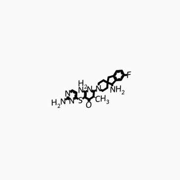 C[C@@H]1C(=O)C(Sc2ccnc(N)n2)=C(N)N=C1N1CCC2(CC1)Cc1ccc(F)cc1C2N